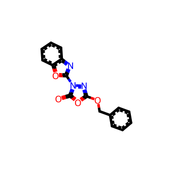 O=c1oc(OCc2ccccc2)nn1-c1nc2ccccc2o1